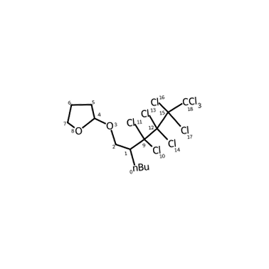 CCCCC(COC1CCCO1)C(Cl)(Cl)C(Cl)(Cl)C(Cl)(Cl)C(Cl)(Cl)Cl